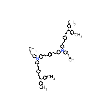 CCCCc1ccc(N(c2ccc(/C=C/c3ccc(/C=C/C=C(c4ccc(C)cc4)c4ccc(C)cc4)cc3)cc2)c2ccc(/C=C/c3ccc(/C=C/c4ccc(N(c5ccc(/C=C/c6ccc(/C=C/C=C(c7ccc(C)cc7)c7ccc(C)cc7)cc6)cc5)c5ccc(CCCC)cc5)cc4)cc3)cc2)cc1